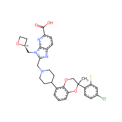 CC1(c2ccc(Cl)cc2F)COc2c(cccc2C2CCN(Cc3nc4ccc(C(=O)O)nc4n3C[C@@H]3CCO3)CC2)O1